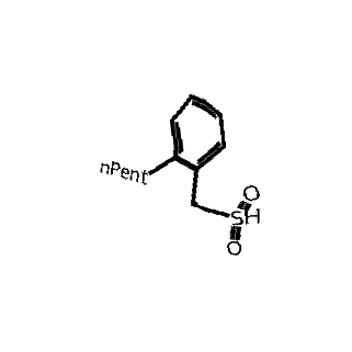 CCC[CH]Cc1ccccc1C[SH](=O)=O